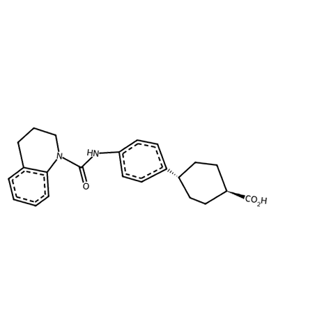 O=C(Nc1ccc([C@H]2CC[C@H](C(=O)O)CC2)cc1)N1CCCc2ccccc21